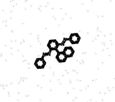 c1ccc(N=Nc2cccc(N=Nc3ccccc3)c2-c2cccc3ccccc23)cc1